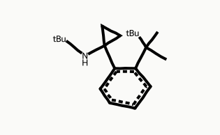 CC(C)(C)NC1(c2ccccc2C(C)(C)C(C)(C)C)CC1